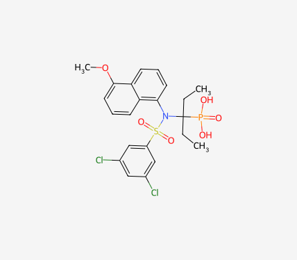 CCC(CC)(N(c1cccc2c(OC)cccc12)S(=O)(=O)c1cc(Cl)cc(Cl)c1)P(=O)(O)O